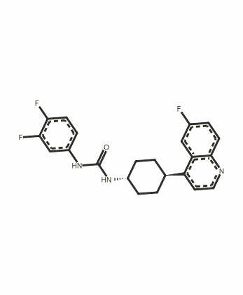 O=C(Nc1ccc(F)c(F)c1)N[C@H]1CC[C@H](c2ccnc3ccc(F)cc32)CC1